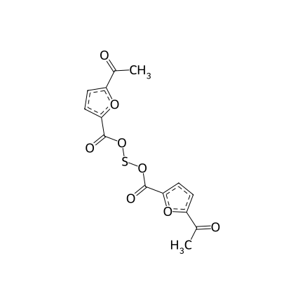 CC(=O)c1ccc(C(=O)OSOC(=O)c2ccc(C(C)=O)o2)o1